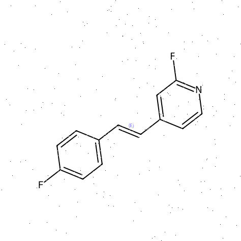 Fc1ccc(/C=C/c2ccnc(F)c2)cc1